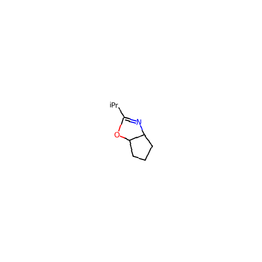 CC(C)C1=NC2CCCC2O1